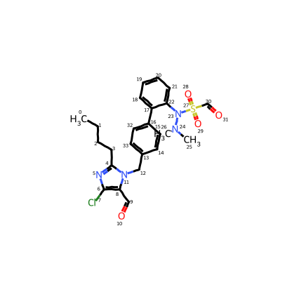 CCCCc1nc(Cl)c(C=O)n1Cc1ccc(-c2ccccc2N(N(C)C)S(=O)(=O)C=O)cc1